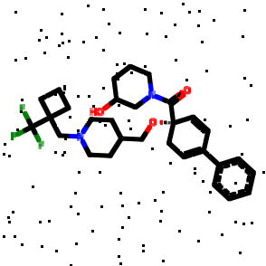 O=C(N1CCCC(O)C1)[C@@]1(OCC2CCN(CC3(C(F)(F)F)CCC3)CC2)C=CC(c2ccccc2)=CC1